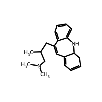 CC(CC1=CC2=CC=CCC2Nc2ccccc21)CN(C)C